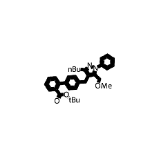 CCCCc1nn(-c2ccccc2)c(COC)c1Cc1ccc(-c2ccccc2C(=O)OC(C)(C)C)cc1